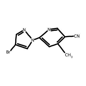 Cc1cc(-n2cc(Br)cn2)ncc1C#N